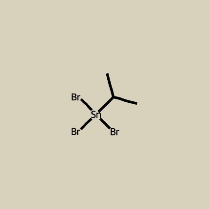 C[CH](C)[Sn]([Br])([Br])[Br]